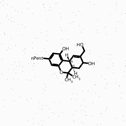 CCCCCc1cc(O)c2c(c1)OC(C)(C)[C@@H]1CC(O)C(CO)=C[C@@H]21